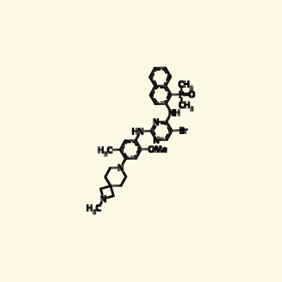 COc1cc(N2CCC3(CC2)CN(C)C3)c(C)cc1Nc1ncc(Br)c(Nc2ccc3ccccc3c2P(C)(C)=O)n1